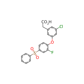 O=C(O)Cc1cc(Cl)cc(Oc2ccc(S(=O)(=O)c3ccccc3)cc2F)c1